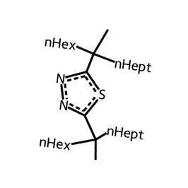 CCCCCCCC(C)(CCCCCC)c1nnc(C(C)(CCCCCC)CCCCCCC)s1